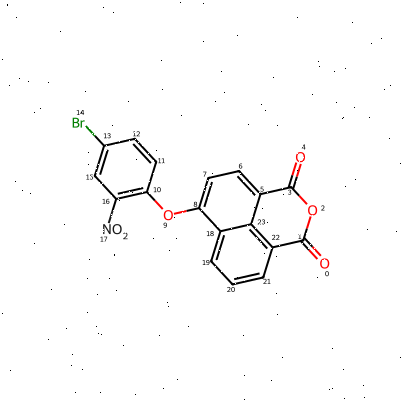 O=C1OC(=O)c2ccc(Oc3ccc(Br)cc3[N+](=O)[O-])c3cccc1c23